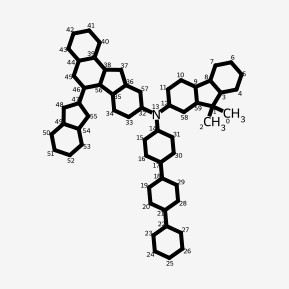 CC1(C)C2CCCCC2C2CCC(N(C3CCC(C4CCC(C5CCCCC5)CC4)CC3)C3CCC4C(CC5C6CCCCC6CC(C6CC7CCCCC7C6)C45)C3)CC21